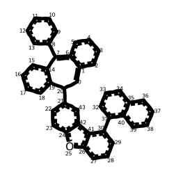 C1=c2ccccc2=C(c2ccccc2)c2ccccc2C1c1ccc2oc3cccc(-c4cccc5ccccc45)c3c2c1